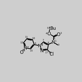 CN(C(=O)OC(C)(C)C)c1cn(-c2ccc[n+]([O-])c2)nc1Cl